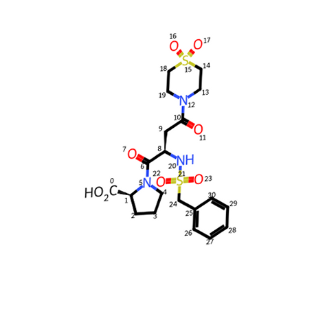 O=C(O)[C@@H]1CCCN1C(=O)[C@@H](CC(=O)N1CCS(=O)(=O)CC1)NS(=O)(=O)Cc1ccccc1